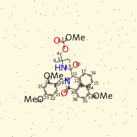 COC(=O)OCC(C)(C)NC(=O)C(c1ccccc1)N(Cc1ccc(OC)cc1OC)C(=O)c1ccc(OC)cc1